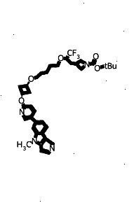 Cn1c2ccncc2c2ccc(-c3ccc(O[C@H]4C[C@H](OCCCCCOC(CC5CN(C(=O)OC(C)(C)C)C5)C(F)(F)F)C4)nc3)cc21